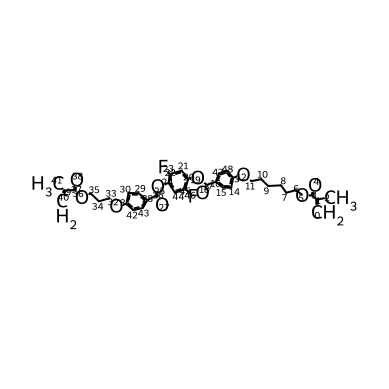 C=C(C)C(=O)OCCCCCCOc1ccc(C(=O)Oc2cc(F)c(OC(=O)c3ccc(OCCCOC(=O)C(=C)C)cc3)cc2F)cc1